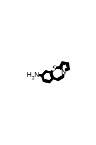 NC1C=CC2=C(C1)Sc1cccn1C=C2